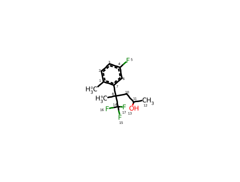 Cc1ccc(F)cc1C(C)(CC(C)O)C(F)(F)F